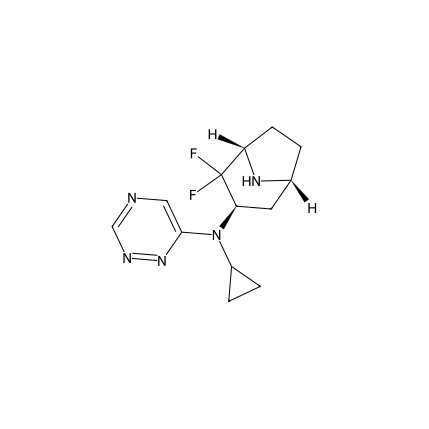 FC1(F)[C@@H]2CC[C@H](C[C@H]1N(c1cncnn1)C1CC1)N2